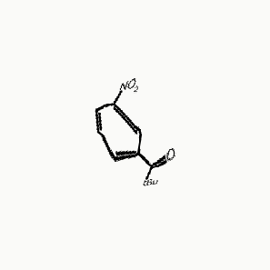 CC(C)(C)C(=O)c1cccc([N+](=O)[O-])c1